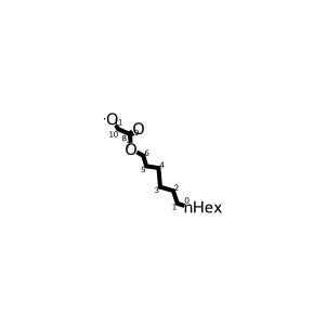 CCCCCCCCCCCCOC(=O)C[O]